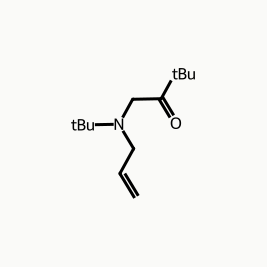 C=CCN(CC(=O)C(C)(C)C)C(C)(C)C